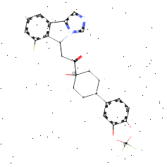 O=C(CC1c2c(F)cccc2-c2cncn21)C1(O)CCC(c2ccc3c(c2)OC(F)(F)O3)CC1